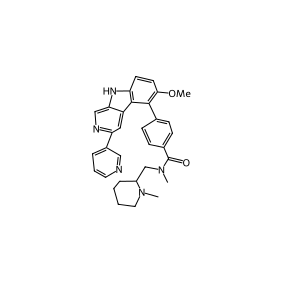 COc1ccc2[nH]c3cnc(-c4cccnc4)cc3c2c1-c1ccc(C(=O)N(C)CC2CCCCN2C)cc1